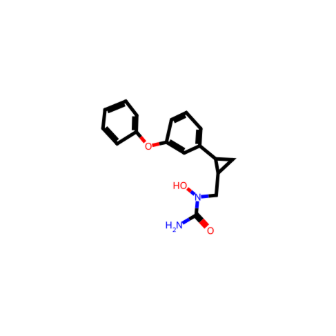 NC(=O)N(O)CC1CC1c1cccc(Oc2ccccc2)c1